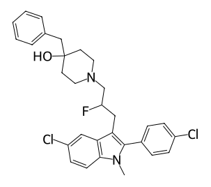 Cn1c(-c2ccc(Cl)cc2)c(CC(F)CN2CCC(O)(Cc3ccccc3)CC2)c2cc(Cl)ccc21